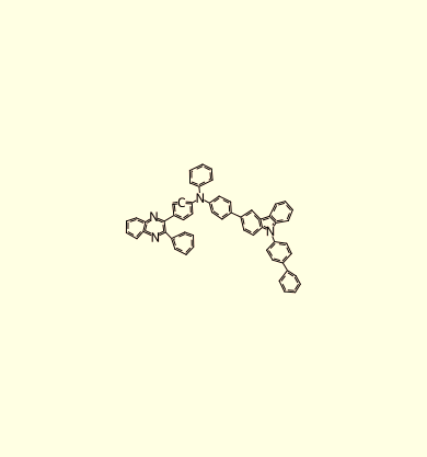 c1ccc(-c2ccc(-n3c4ccccc4c4cc(-c5ccc(N(c6ccccc6)c6ccc(-c7nc8ccccc8nc7-c7ccccc7)cc6)cc5)ccc43)cc2)cc1